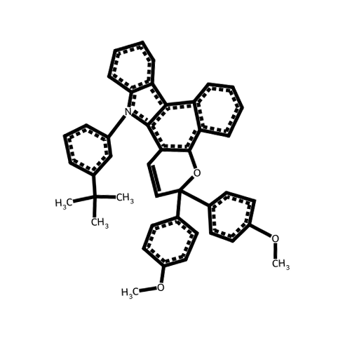 COc1ccc(C2(c3ccc(OC)cc3)C=Cc3c(c4ccccc4c4c5ccccc5n(-c5cccc(C(C)(C)C)c5)c34)O2)cc1